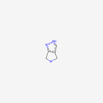 c1[nH]nc2c1C[N]C2